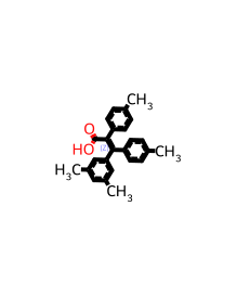 Cc1ccc(/C(C(=O)O)=C(\c2ccc(C)cc2)c2cc(C)cc(C)c2)cc1